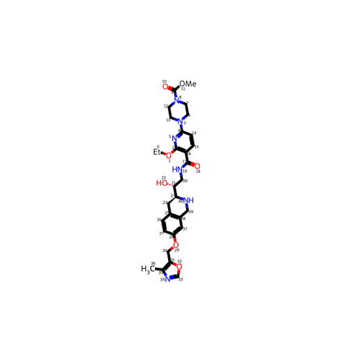 CCOc1nc(N2CCN(C(=O)OC)CC2)ccc1C(=O)NC[C@@H](O)[C@@H]1Cc2ccc(OCc3ocnc3C)cc2CN1